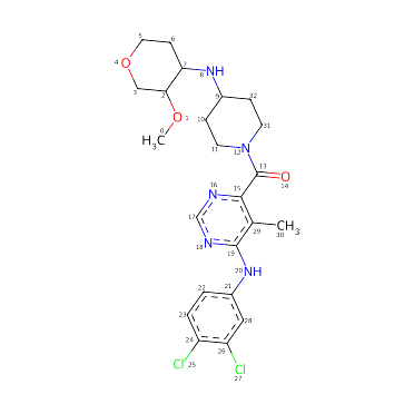 COC1COCCC1NC1CCN(C(=O)c2ncnc(Nc3ccc(Cl)c(Cl)c3)c2C)CC1